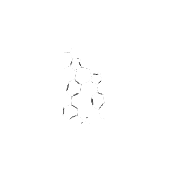 Cc1nc(C(F)F)c(C)n1-c1ccc(-c2cccc(S(C)(=O)=O)c2)cc1-n1nncc1-c1ccc(OC(F)(F)F)cc1